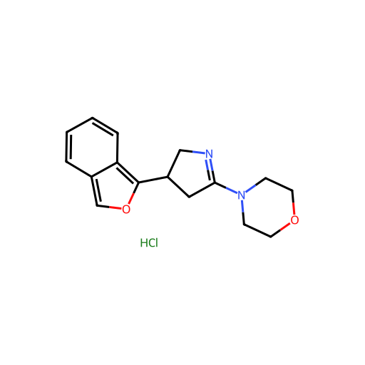 Cl.c1ccc2c(C3CN=C(N4CCOCC4)C3)occ2c1